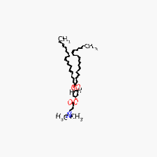 CCCCC/C=C\C/C=C\CCCCCCCCC1(CCCCCCCC/C=C\CCCCCCCC)O[C@H]2C[C@H](OC(=O)CCN(C)C)C[C@H]2O1